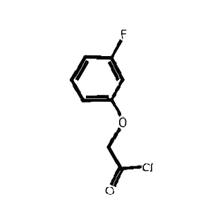 O=C(Cl)COc1cccc(F)c1